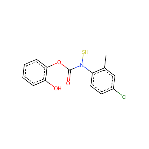 Cc1cc(Cl)ccc1N(S)C(=O)Oc1ccccc1O